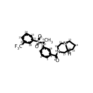 CN(c1cccc(C(=O)N2CCN3CCC[C@@H]3C2)c1)S(=O)(=O)c1cccc(C(F)(F)F)c1